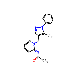 O=C(/N=c1\ccccn1Cc1cnn(-c2ccccc2)c1C(F)(F)F)C(F)(F)F